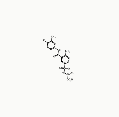 Cc1cc(NC(=O)c2cc(S(=O)(=O)N[C@H](C)C(=O)O)ccc2C)ccc1F